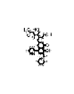 CC(=O)CC(=O)C(CO)C(CCO)CC1CC(=O)c2c(O)c(CN3CCCCC3)cc(-c3ccccn3)c2C1